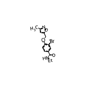 CCNC(=O)c1ccc(OCc2cc(C)no2)c(Br)c1